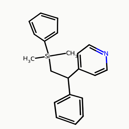 C[Si](C)(CC(c1ccccc1)c1ccncc1)c1ccccc1